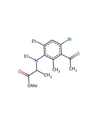 CCc1cc(Br)c(C(C)=S)c(C)c1N(CC)C(C)C(=O)OC